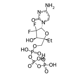 CC[C@]1(COP(=O)(O)OP(=O)(O)OP(=O)(O)O)O[C@@H](n2ccc(N)nc2=O)C(F)(F)[C@@H]1O